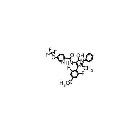 COc1cc(F)c(C2=C(NC(=O)c3ccc(OC(F)(F)F)cn3)C(O)N(c3ccccc3)N2C)c(F)c1